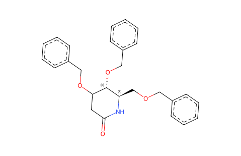 O=C1CC(OCc2ccccc2)[C@H](OCc2ccccc2)[C@@H](COCc2ccccc2)N1